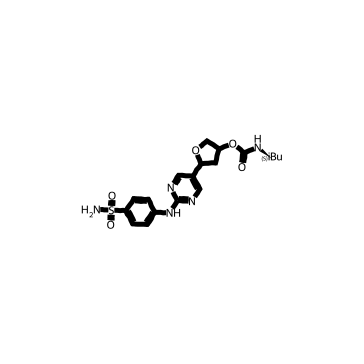 CC[C@H](C)NC(=O)OC1COC(c2cnc(Nc3ccc(S(N)(=O)=O)cc3)nc2)C1